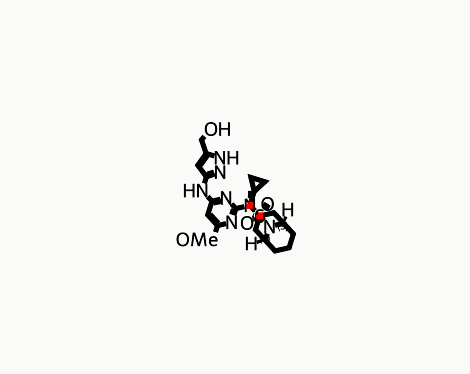 COc1cc(Nc2cc(CO)[nH]n2)nc(N(C)[C@H]2C[C@H]3CCC[C@@H](C2)N3S(=O)(=O)CC2CC2)n1